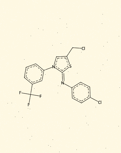 FC(F)(F)c1cccc(-n2cc(CCl)sc2=Nc2ccc(Cl)cc2)c1